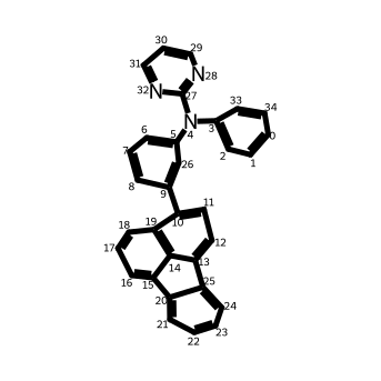 c1ccc(N(c2cccc(-c3ccc4c5c(cccc35)-c3ccccc3-4)c2)c2ncccn2)cc1